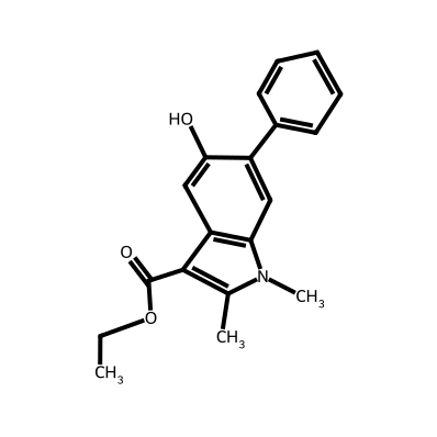 CCOC(=O)c1c(C)n(C)c2cc(-c3ccccc3)c(O)cc12